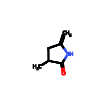 C=C1CC(C)C(=O)N1